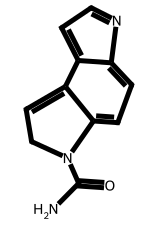 NC(=O)N1CC=c2c1ccc1c2=CC=N1